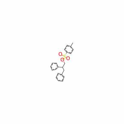 Cc1ccc(S(=O)(=O)OCC(Cc2ccccc2)c2ccccc2)cc1